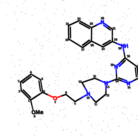 COc1c[c]ccc1OCCN1CCN(c2nccc(Nc3cnc4ccccc4c3)n2)CC1